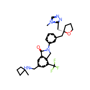 Cn1cnnc1C[C@]1(Cc2cccc(N3Cc4c(cc(CNC5(C)CCC5)cc4C(F)(F)F)C3=O)c2)CCCO1